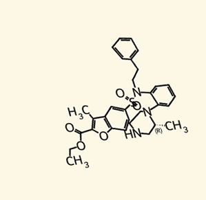 CCOC(=O)c1oc2ccc(S(=O)(=O)N(CCc3ccccc3)c3ccccc3N3CCNC[C@H]3C)cc2c1C